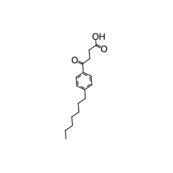 CCCCCCCc1ccc(C(=O)CCC(=O)O)cc1